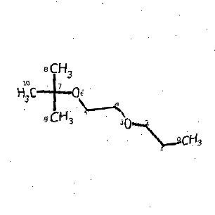 CCCOCCOC(C)(C)C